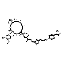 CC[C@H]1OC(=O)[C@H](C)[C@@H](O[C@H]2C[C@@](C)(OC)[C@@H](O)[C@H](C)O2)[C@H](C)[C@@H](O[C@H]2C[C@@H](N(C)CCc3cn(CCCOc4ccc(-c5cnoc5)cc4)nn3)C[C@@H](C)O2)[C@](C)(O)C[C@@H](C)CN(C)[C@H](C)[C@@H](O)[C@]1(C)O